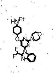 CCNC1CCC(Oc2cc(-n3c(C(F)F)nc4ccccc43)nc(N3CCOCC3)n2)CC1